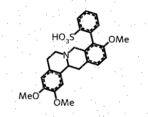 COc1cc2c(cc1OC)C1Cc3ccc(OC)c(-c4ccccc4S(=O)(=O)O)c3CN1CC2